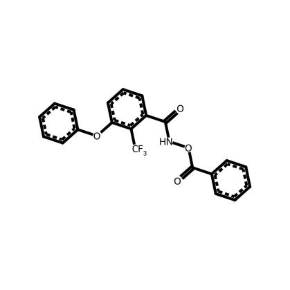 O=C(ONC(=O)c1cccc(Oc2ccccc2)c1C(F)(F)F)c1ccccc1